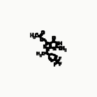 CC(=O)OCc1nn(C(C)c2ccc(C(F)(F)F)cc2)c2nc(C)[nH]c(=O)c12